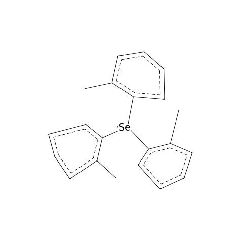 Cc1ccccc1[Se](c1ccccc1C)c1ccccc1C